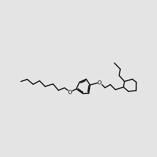 CCCCCCCCOc1ccc(OCCCC2CCCCC2CCC)cc1